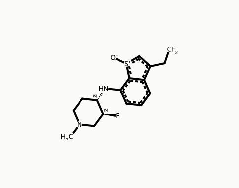 CN1CC[C@H](Nc2cccc3c(CC(F)(F)F)c[s+]([O-])c23)[C@@H](F)C1